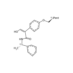 CCC[C@H](C)COc1ccc(C(=CO)C(=O)N[C@@H](C)c2ccccc2)cc1